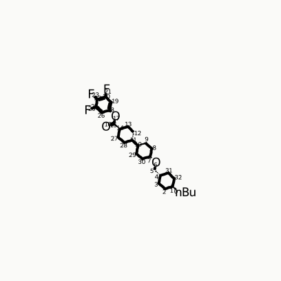 CCCC[C@H]1CC[C@H](CO[C@H]2CC[C@H]([C@H]3CC[C@H](C(=O)Oc4cc(F)c(F)c(F)c4)CC3)CC2)CC1